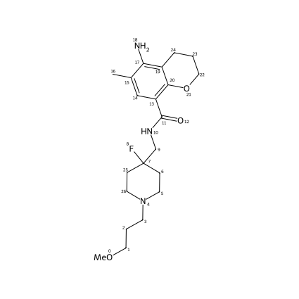 COCCCN1CCC(F)(CNC(=O)c2cc(C)c(N)c3c2OCCC3)CC1